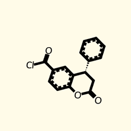 O=C1C[C@@H](c2ccccc2)c2cc(C(=O)Cl)ccc2O1